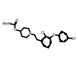 CNC(=O)OC1CCN(CCc2cccc(Oc3ccc(Cl)cc3)c2Cl)CC1